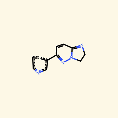 C1=CC2=NCCN2N=C1c1cccnc1